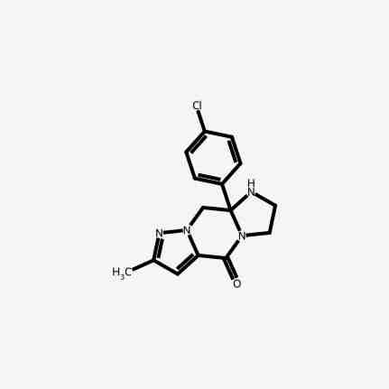 Cc1cc2n(n1)CC1(c3ccc(Cl)cc3)NCCN1C2=O